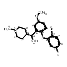 COc1ccc(Sc2cc(F)ccc2F)c(C(O)C2CCN(C)CC2)c1